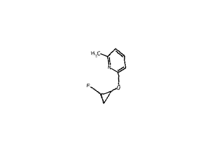 Cc1cccc(OC2CC2F)n1